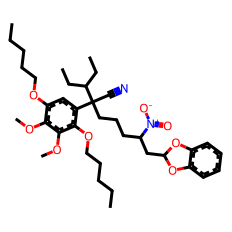 CCCCCOc1cc(C(C#N)(CCCC(CC2Oc3ccccc3O2)[N+](=O)[O-])C(CC)CC)c(OCCCCC)c(OC)c1OC